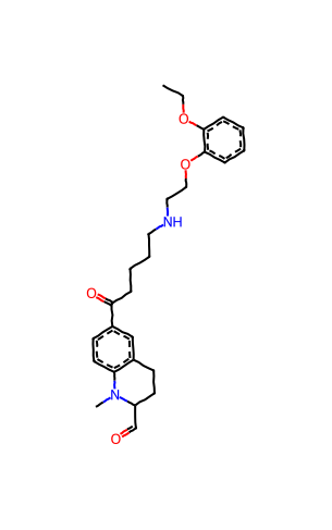 CCOc1ccccc1OCCNCCCCC(=O)c1ccc2c(c1)CCC(C=O)N2C